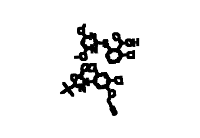 C#CCOc1cc(-n2nc(C(C)(C)C)oc2=O)c(Cl)cc1Cl.COc1cc(OC)nc(Sc2cccc(Cl)c2C(=O)O)n1